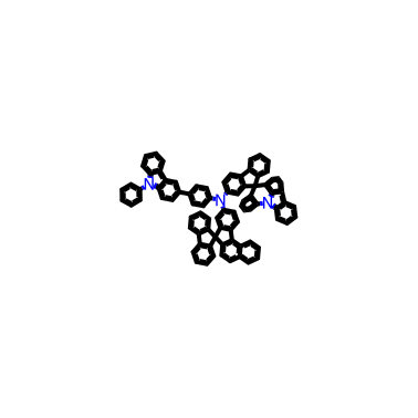 c1ccc(-n2c3ccccc3c3cc(-c4ccc(N(c5ccc6c(c5)C5(c7ccccc7-c7ccccc75)c5ccc7ccccc7c5-6)c5ccc6c(c5)C5(c7ccccc7-6)c6ccccc6-n6c7ccccc7c7cccc5c76)cc4)ccc32)cc1